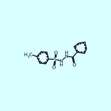 Cc1ccc(S(=O)(=O)NNC(=O)c2ccccc2)cc1